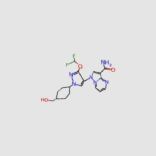 NC(=O)c1cn(-c2cn(C3CCC(CO)CC3)nc2OC(F)F)[n+]2cccnc12